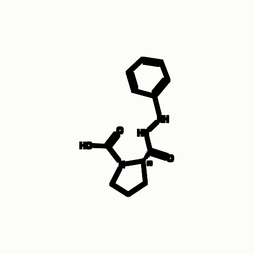 O=C(NNc1ccccc1)[C@@H]1CCCN1C(=O)O